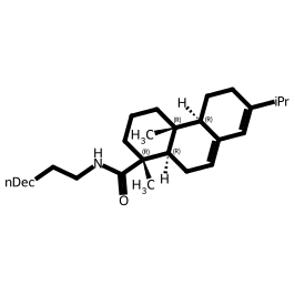 CCCCCCCCCCCCNC(=O)[C@]1(C)CCC[C@@]2(C)[C@H]1CC=C1C=C(C(C)C)CC[C@@H]12